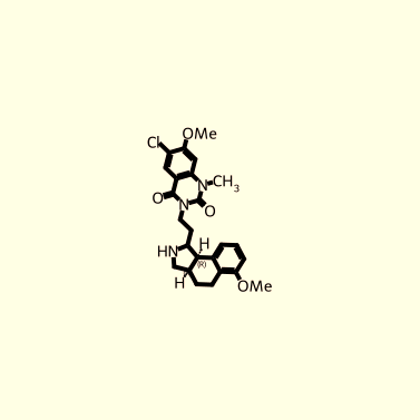 COc1cc2c(cc1Cl)c(=O)n(CCC1NC[C@@H]3CCc4c(OC)cccc4[C@H]13)c(=O)n2C